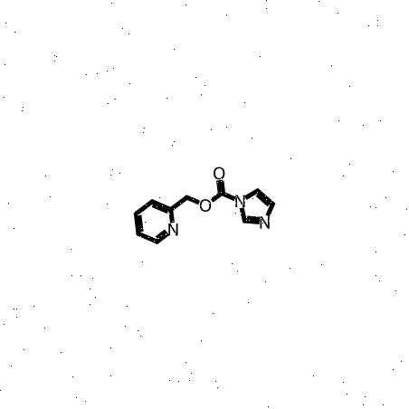 O=C(OCc1ccccn1)n1ccnc1